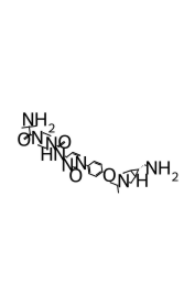 CC(COc1ccc(-n2ccc(NC(=O)N3CCN(C(=O)C(C)(C)N)CC3)nc2=O)cc1)N1CC2[C@H](CN)[C@H]2C1